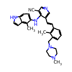 Cc1c(C=Cc2cncc(C#N)c2Nc2ccc3[nH]ccc3c2C)cccc1CN1CCN(C)CC1